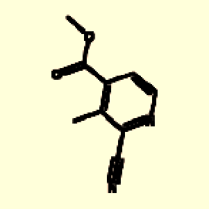 COC(=O)c1ccnc(C#N)c1C